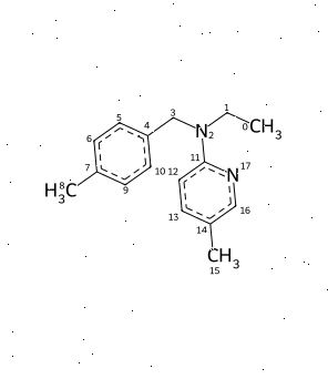 CCN(Cc1ccc(C)cc1)c1ccc(C)cn1